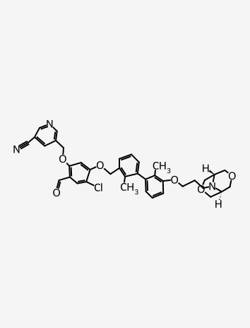 Cc1c(COc2cc(OCc3cncc(C#N)c3)c(C=O)cc2Cl)cccc1-c1cccc(OCCCN2[C@H]3COC[C@H]2COC3)c1C